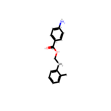 Cc1ccccc1[SiH2]COC(=O)c1ccc(N)cc1